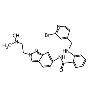 CN(C)CCn1cc2ccc(NC(=O)c3ccccc3NCc3ccnc(Br)c3)cc2n1